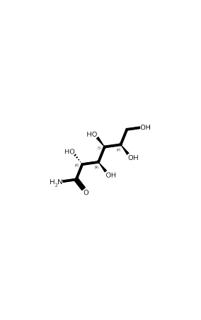 NC(=O)[C@H](O)[C@H](O)[C@@H](O)[C@H](O)CO